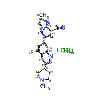 Cc1cn2nc(-c3cc(F)c4cc(C5CCN(C)CC5)nnc4c3)cc(C#N)c2n1.Cl.Cl.Cl